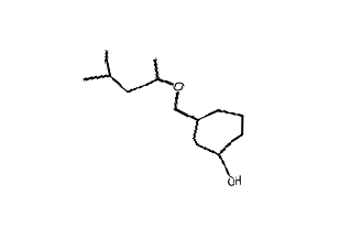 CC(C)CC(C)OCC1CCCC(O)C1